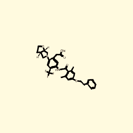 Cc1cc(OCCc2ccccc2)cc(C)c1C(=O)Nc1cc(CC(=O)O)c(N2C[C@@H]3CCO[C@@H]3C2)cc1C(F)(F)F